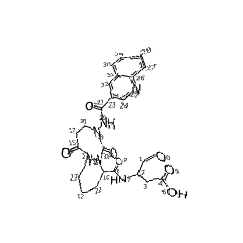 O=CC(CC(=O)O)NC(=O)C1CCCN2C(=O)CCN(NC(=O)c3cnc4ccccc4c3)C(=O)N12